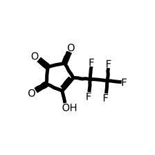 O=c1c(O)c(C(F)(F)C(F)(F)F)c(=O)c1=O